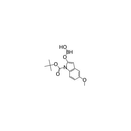 COc1ccc2c(c1)cc(OBO)n2C(=O)OC(C)(C)C